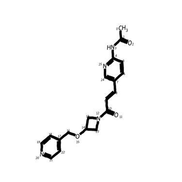 CC(=O)Nc1ccc(/C=C/C(=O)N2CC(OCc3ccncc3)C2)cn1